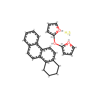 S.c1ccc2c(c1)ccc1c3c(ccc12)CCCC3.c1coc(Oc2ccco2)c1